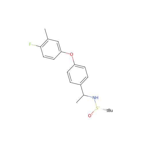 Cc1cc(Oc2ccc(C(C)N[S@@+]([O-])C(C)(C)C)cc2)ccc1F